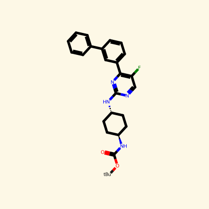 CC(C)(C)OC(=O)N[C@H]1CC[C@H](Nc2ncc(F)c(-c3cccc(-c4ccccc4)c3)n2)CC1